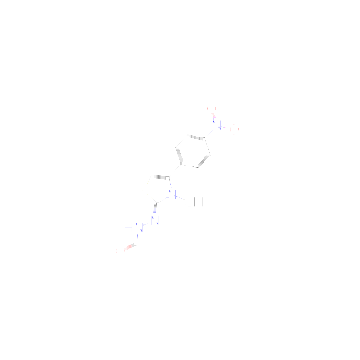 Cn1c(-c2ccc([N+](=O)[O-])cc2)csc1=NNC=O